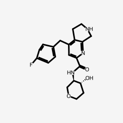 O=C(N[C@@H]1COCC[C@H]1O)c1cc(Cc2ccc(F)cc2)c2c(n1)CNCC2